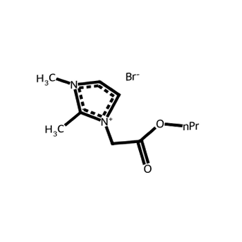 CCCOC(=O)C[n+]1ccn(C)c1C.[Br-]